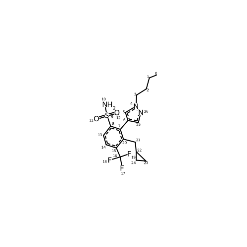 CCCCn1cc(-c2c(S(N)(=O)=O)ccc(C(F)(F)F)c2CC2CC2)cn1